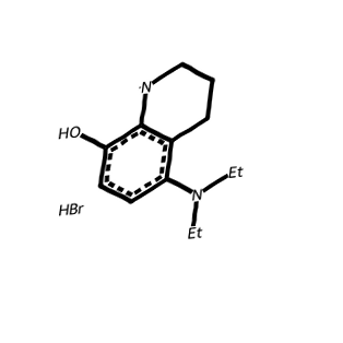 Br.CCN(CC)c1ccc(O)c2c1CCC[N]2